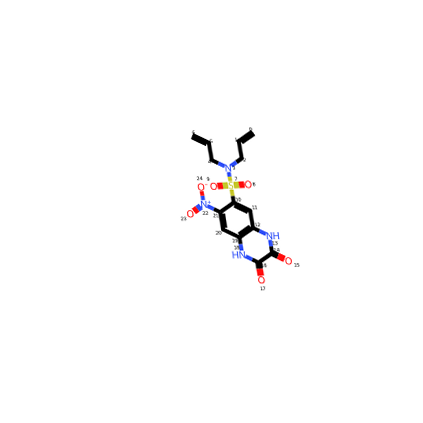 C=CCN(CC=C)S(=O)(=O)c1cc2[nH]c(=O)c(=O)[nH]c2cc1[N+](=O)[O-]